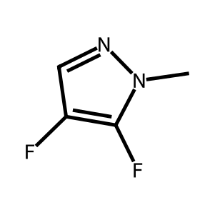 Cn1ncc(F)c1F